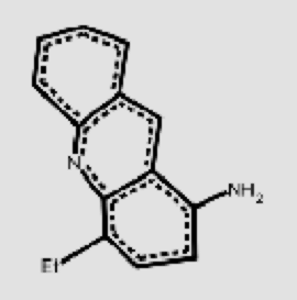 CCc1ccc(N)c2cc3ccccc3nc12